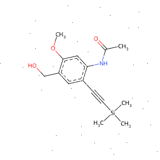 COc1cc(NC(C)=O)c(C#C[Si](C)(C)C)cc1CO